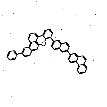 c1ccc(-c2ccc3cc4c5c(cccc5c3c2)-c2cccc(-c3ccc5cc(-c6ccc7c(ccc8ccccc87)c6)ccc5c3)c2O4)cc1